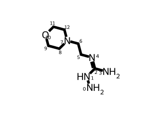 NNC(N)=NCCN1CCOCC1